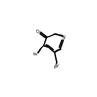 O=C1CN=CC(Br)=C1Br